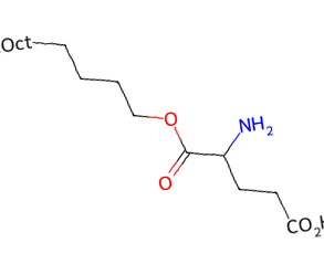 CCCCCCCCCCCCOC(=O)C(N)CCC(=O)O